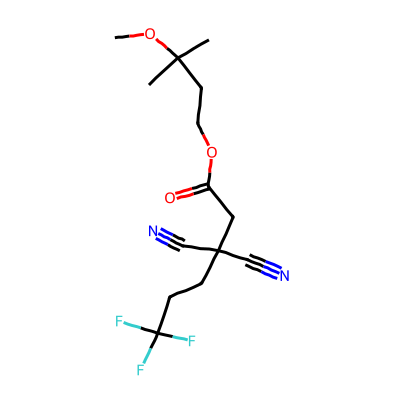 COC(C)(C)CCOC(=O)CC(C#N)(C#N)CCC(F)(F)F